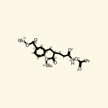 CC(C)C(=O)ONC(=O)CCC(Cc1cccc(C(=O)OC(C)(C)C)c1)C(=O)OC(C)(C)C